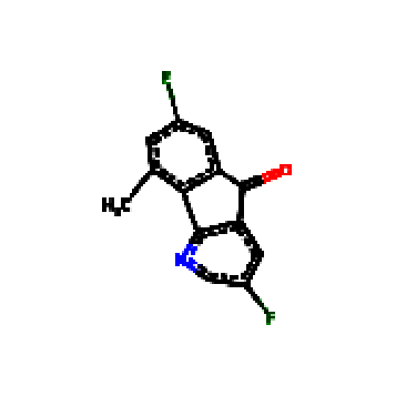 Cc1cc(F)cc2c1-c1ncc(F)cc1C2=O